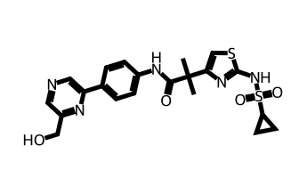 CC(C)(C(=O)Nc1ccc(-c2cncc(CO)n2)cc1)c1csc(NS(=O)(=O)C2CC2)n1